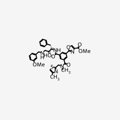 COC(=O)c1coc(-c2cc(C(=O)N[C@@H](Cc3ccccc3)[C@H](O)CNCc3cccc(OC)c3)cc(C(=O)N(C)Cc3nc(C)cs3)c2)n1